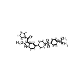 Cc1nn2ccc(C3CCN(S(=O)(=O)c4ccc(N(C)C)cc4)CC3)cc2c1C(=O)N1CCCC1